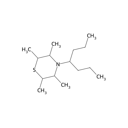 CCCC(CCC)N1C(C)C(C)SC(C)C1C